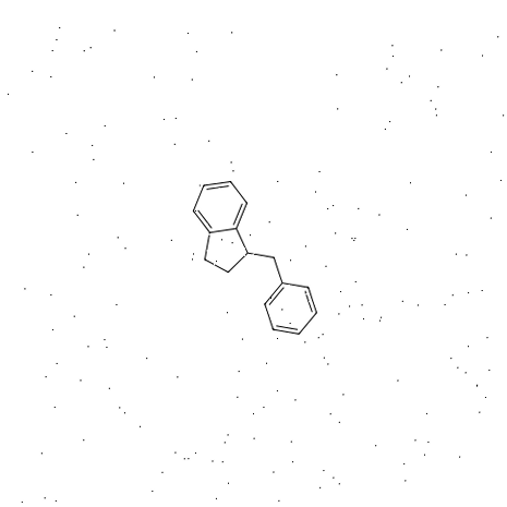 [c]1ccc2c(c1)CCC2Cc1ccccc1